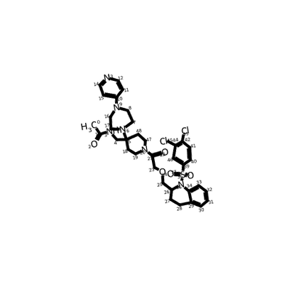 CC(=O)NCC1(N2CCN(c3ccncc3)CC2)CCN(C(=O)COCC2CCc3ccccc3N2S(=O)(=O)c2ccc(Cl)c(Cl)c2)CC1